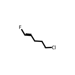 FC=CCC[CH]Cl